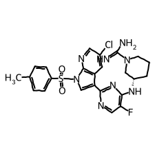 Cc1ccc(S(=O)(=O)n2cc(-c3ncc(F)c(N[C@H]4CCCN(C(=N)N)C4)n3)c3cc(Cl)cnc32)cc1